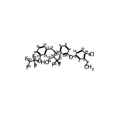 CCc1cc(Oc2cccc(N(Cc3cccc(OC(F)(F)C(F)F)c3)C(CO)C(F)(F)F)c2)ccc1Cl